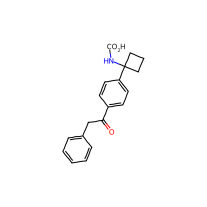 O=C(O)NC1(c2ccc(C(=O)Cc3ccccc3)cc2)CCC1